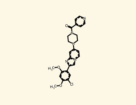 COc1cc(OC)c(-c2cn3ccc(N4CCN(C(=O)c5ccncc5)CC4)cc3n2)cc1Cl